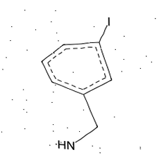 [NH]Cc1cccc(I)c1